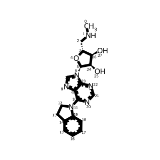 CNC[C@H]1O[C@@H](n2cnc3c(N4CCc5ccccc54)ncnc32)[C@H](O)[C@@H]1O